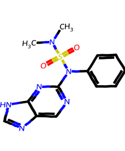 CN(C)S(=O)(=O)N(c1ccccc1)c1ncc2nc[nH]c2n1